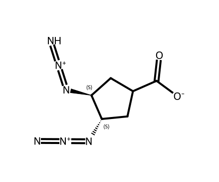 [N-]=[N+]=N[C@H]1CC(C(=O)[O-])C[C@@H]1N=[N+]=N